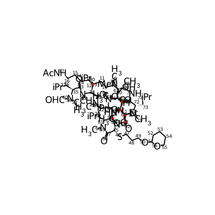 CC[C@H](NC(=O)C([C@H](O)[C@H](C)CCCCCCCNC(C)=O)N(C)C(=O)[C@H](C(C)C)N(C)C(=O)[C@H](CC(C)C)N(C)C(=O)[C@H](CC(C)C)N(C)C=O)C(=O)N(C)[C@H](SCCCOC1CCCCO1)C(=O)N(C)[C@@H](CC(C)C)C(=O)N[C@H](C(=O)N(C)[C@@H](CC(C)C)C(=O)N[C@@H](C)C(=O)NC)C(C)C